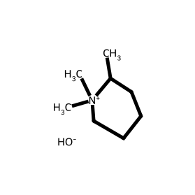 CC1CCCC[N+]1(C)C.[OH-]